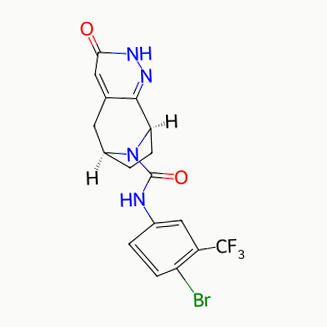 O=C(Nc1ccc(Br)c(C(F)(F)F)c1)N1[C@H]2CC[C@@H]1c1n[nH]c(=O)cc1C2